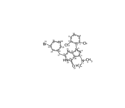 CN(C)c1nn(-c2c(Cl)cccc2Cl)c2nc(Cc3cncc(Br)c3)[nH]c(=O)c12